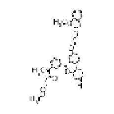 CCOCCC(=O)N(C)c1cccc(COC2CNCCC2c2ccc(OCCCOCc3ccccc3OC)cc2)c1